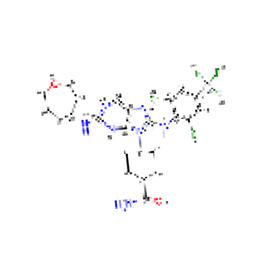 NC(=O)[C@H]1CC[C@H](n2c(Nc3c(Cl)cc(C(F)(F)F)cc3Cl)nc3cnc(NC4CCCOCC4)nc32)CC1